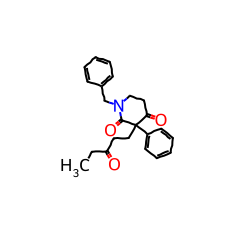 CCC(=O)CCC1(c2ccccc2)C(=O)CCN(Cc2ccccc2)C1=O